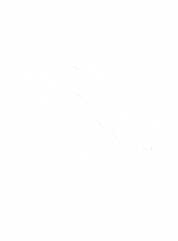 O=C1NCCn2nc(-c3ccnc(-c4c(F)cccc4OCc4ccc(Cl)cc4)n3)cc21